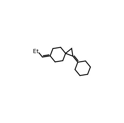 CCC=C1CCC2(CC1)CC2=C1CCCCC1